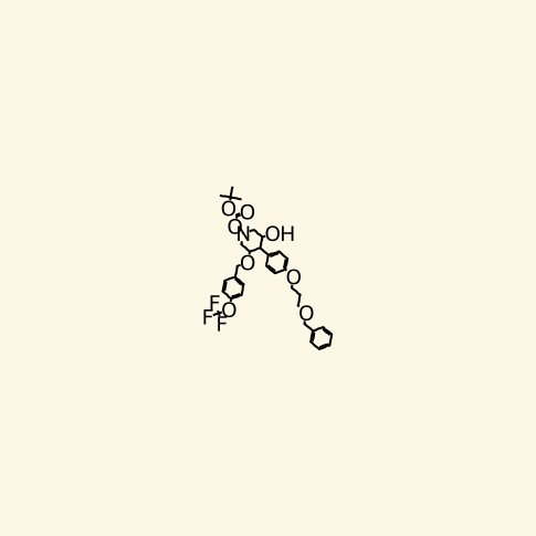 CC(C)(C)OC(=O)ON1CC(O)C(c2ccc(OCCCOCc3ccccc3)cc2)C(OCc2ccc(OC(F)(F)F)cc2)C1